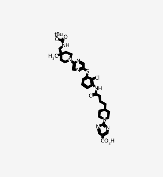 CC1(CNC(=O)OC(C)(C)C)CCN(c2cnc(Sc3cccc(NC(=O)CCCC4CCN(c5ncc(C(=O)O)cn5)CC4)c3Cl)cn2)CC1